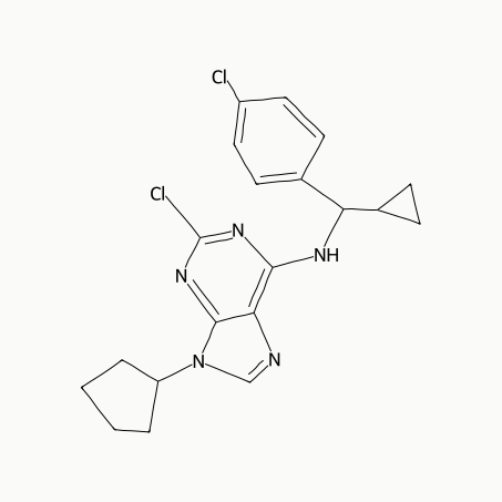 Clc1ccc(C(Nc2nc(Cl)nc3c2ncn3C2CCCC2)C2CC2)cc1